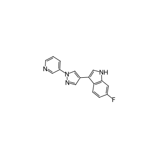 Fc1ccc2c(-c3cnn(-c4cccnc4)c3)c[nH]c2c1